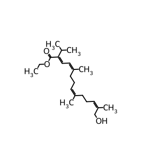 CCOC(=O)C(=CC=C(C)CCC=C(C)CCC=C(C)CO)C(C)C